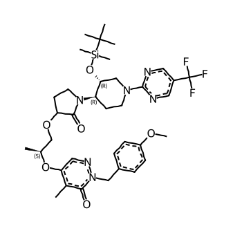 COc1ccc(Cn2ncc(O[C@@H](C)COC3CCN([C@@H]4CCN(c5ncc(C(F)(F)F)cn5)C[C@H]4O[Si](C)(C)C(C)(C)C)C3=O)c(C)c2=O)cc1